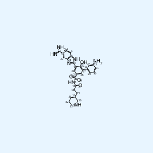 N=C(N)c1ccc2[nH]c(-c3cc(S(=O)(=O)NC(=O)CCC4CCCNC4)cc(-c4cccc(N)c4)c3O)nc2c1